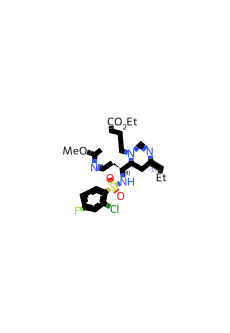 CC/C=C1\CC([C@@H](C/C=N\C(C)OC)NS(=O)(=O)c2ccc(F)cc2Cl)N(CCCC(=O)OCC)C=N1